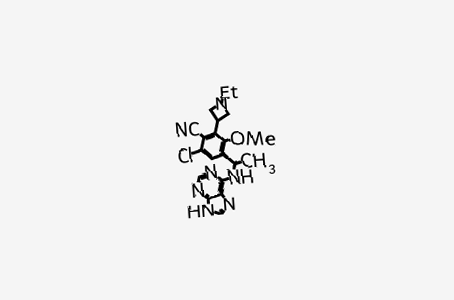 CCN1CC(c2c(C#N)c(Cl)cc(C(C)Nc3ncnc4[nH]cnc34)c2OC)C1